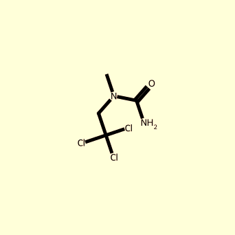 CN(CC(Cl)(Cl)Cl)C(N)=O